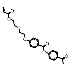 C=CC(=O)OCCOCCOc1ccc(C(=O)Oc2ccc(C(C)=O)cc2)cc1